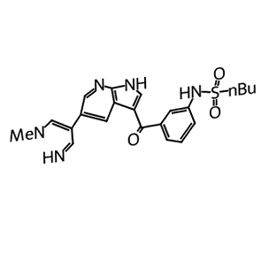 CCCCS(=O)(=O)Nc1cccc(C(=O)c2c[nH]c3ncc(/C(C=N)=C/NC)cc23)c1